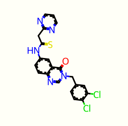 O=c1c2cc(NC(=S)Cc3ncccn3)ccc2ncn1Cc1ccc(Cl)c(Cl)c1